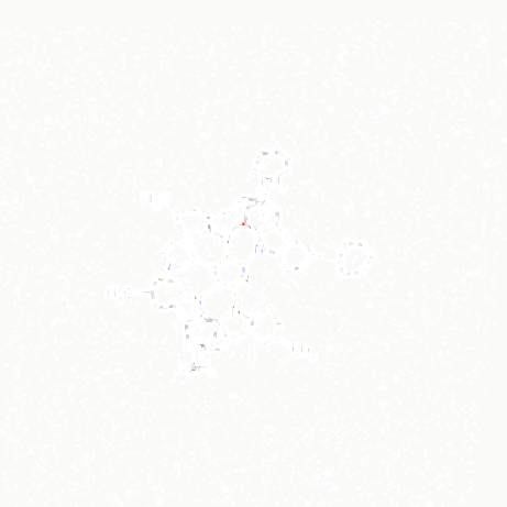 Cc1ccc2c(c1)c1cc(C)ccc1n2-c1nc(-n2c3ccc(-c4ccccc4)cc3c3cc(-c4ccccc4)ccc32)c(-n2c3ccc(C)cc3c3cc(C)ccc32)c(-c2cccnc2)c1-n1c2ccc(C)cc2c2cc(C)ccc21